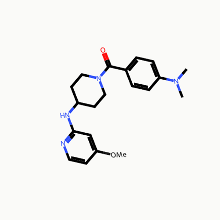 COc1ccnc(NC2CCN(C(=O)c3ccc(N(C)C)cc3)CC2)c1